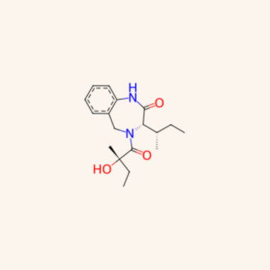 CC[C@H](C)[C@H]1C(=O)Nc2ccccc2CN1C(=O)[C@@](C)(O)CC